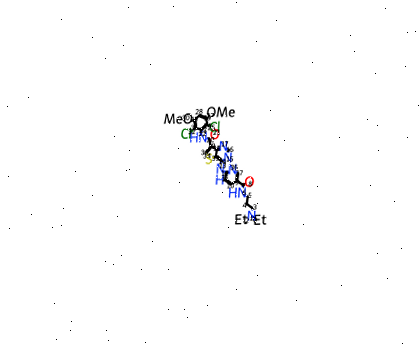 CCN(CC)CCCNC(=O)c1ccc(Nc2ncnc3c(C(=O)Nc4c(Cl)c(OC)cc(OC)c4Cl)csc23)nc1